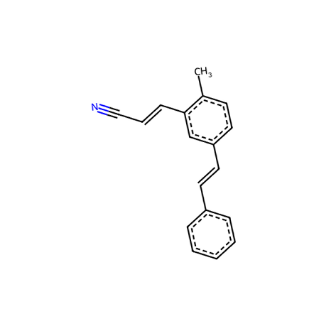 Cc1ccc(/C=C/c2ccccc2)cc1/C=C/C#N